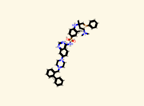 CN(C)CCC(C)(CSc1ccccc1)Nc1ccc(S(=O)(=O)Nc2ncnc3cc(N4CCN(Cc5ccccc5-c5ccccc5)CC4)ccc23)cc1[N+](=O)[O-]